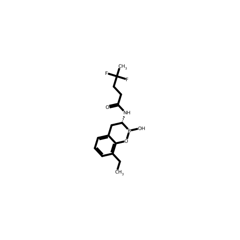 CCc1cccc2c1OB(O)[C@@H](NC(=O)CCC(C)(F)F)C2